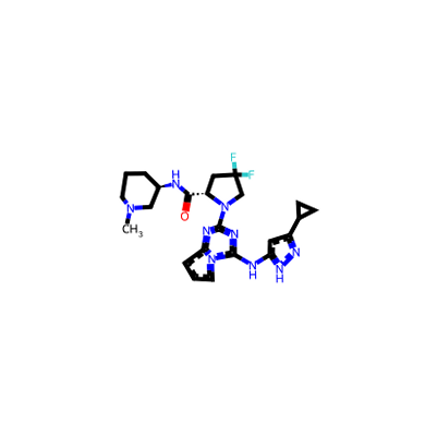 CN1CCC[C@@H](NC(=O)[C@@H]2CC(F)(F)CN2c2nc(Nc3cc(C4CC4)n[nH]3)n3cccc3n2)C1